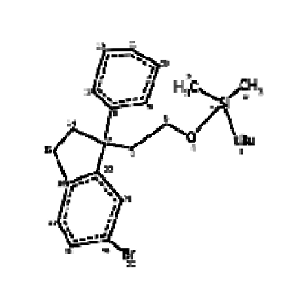 CC(C)(C)[Si](C)(C)OCCC1(c2ccccc2)CCc2ccc(Br)cc21